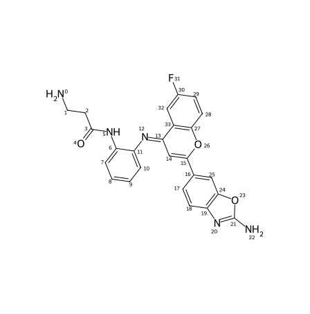 NCCC(=O)Nc1ccccc1N=c1cc(-c2ccc3nc(N)oc3c2)oc2ccc(F)cc12